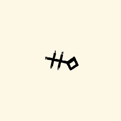 FC(F)(I)C(F)(F)C1=CCC1